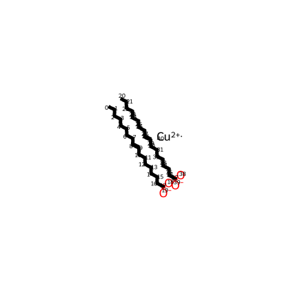 CCCCCCCCC=CCCCCCCCC(=O)[O-].CCCCCCCCC=CCCCCCCCC(=O)[O-].[Cu+2]